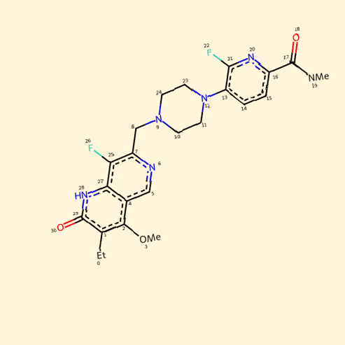 CCc1c(OC)c2cnc(CN3CCN(c4ccc(C(=O)NC)nc4F)CC3)c(F)c2[nH]c1=O